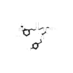 C[C@@H](C(=O)NCCc1ccc(Cl)cc1)N(CCNCCc1ccc(O)c2[nH]c(=O)sc12)CC(C)(C)C